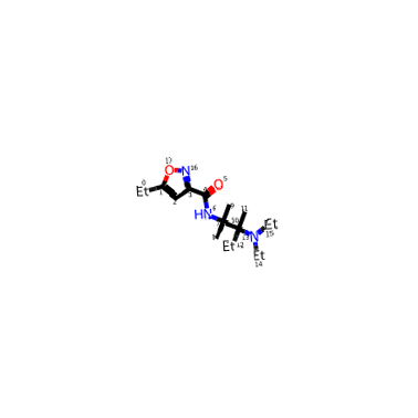 CCc1cc(C(=O)NC(C)(C)C(C)(CC)N(CC)CC)no1